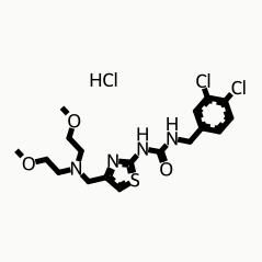 COCCN(CCOC)Cc1csc(NC(=O)NCc2ccc(Cl)c(Cl)c2)n1.Cl